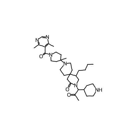 CCCCC1CN(C(C(C)=O)C2CCNCC2)C(=O)CC12CCN(C1(C)CCN(C(=O)c3c(C)ncnc3C)CC1)CC2